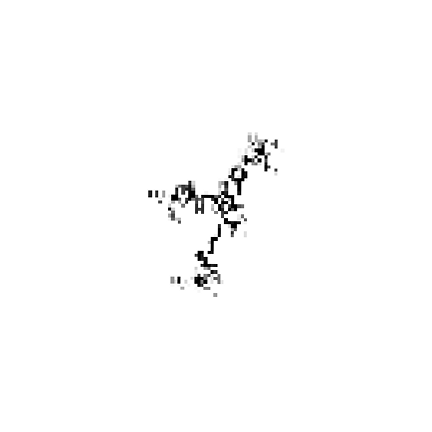 CC(C)(C)OC(=O)NCCCC[C@H](NC(=O)[C@H](Cc1cn(C(=O)OC(C)(C)C)cn1)NC(=O)CNC(=O)OC(C)(C)C)C(=O)O